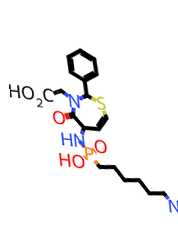 NCCCCCCP(=O)(O)NC1C=CSC(c2ccccc2)N(CC(=O)O)C1=O